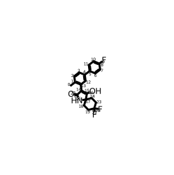 Cc1ccc(-c2ccc(F)cc2)cc1C1=C(O)C2(CCC(F)(F)CC2)NC1=O